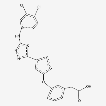 O=C(O)Cc1cccc(Oc2cccc(-c3nnc(Nc4ccc(Cl)c(Cl)c4)s3)c2)c1